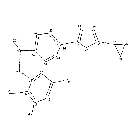 Cc1cc(C)c(C)c(CC(C)c2ccc(C3=CC=C(C4CC4)C3)cc2)c1